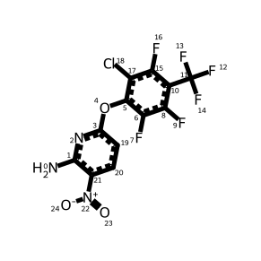 Nc1nc(Oc2c(F)c(F)c(C(F)(F)F)c(F)c2Cl)ccc1[N+](=O)[O-]